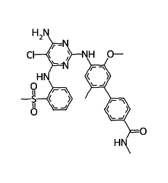 CNC(=O)c1ccc(-c2cc(OC)c(Nc3nc(N)c(Cl)c(Nc4ccccc4S(C)(=O)=O)n3)cc2C)cc1